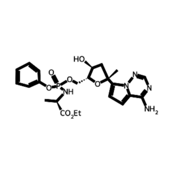 CCOC(=O)[C@@H](C)NP(=O)(OC[C@H]1O[C@@](C)(c2ccc3c(N)ncnn23)C[C@@H]1O)Oc1ccccc1